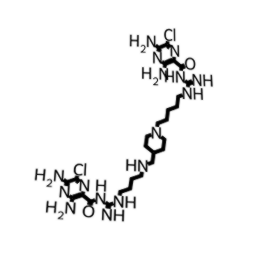 N=C(NCCCCCN1CCC(CNCCCCNC(=N)NC(=O)c2nc(Cl)c(N)nc2N)CC1)NC(=O)c1nc(Cl)c(N)nc1N